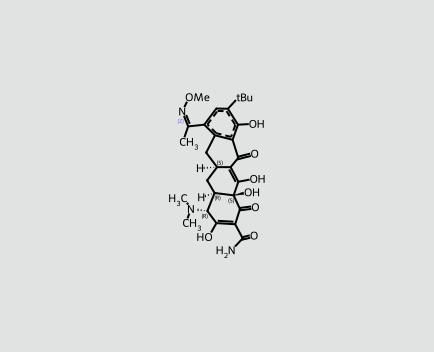 CO/N=C(/C)c1cc(C(C)(C)C)c(O)c2c1C[C@@H]1C[C@@H]3[C@@H](N(C)C)C(O)=C(C(N)=O)C(=O)[C@@]3(O)C(O)=C1C2=O